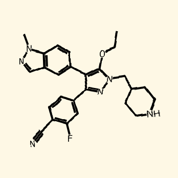 CCOc1c(-c2ccc3c(cnn3C)c2)c(-c2ccc(C#N)c(F)c2)nn1CC1CCNCC1